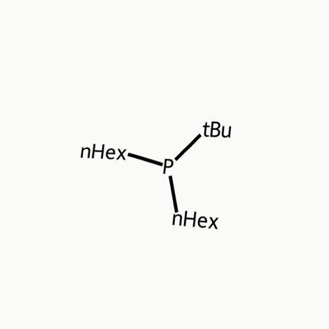 CCCCCCP(CCCCCC)C(C)(C)C